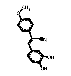 COc1ccc(C(C#N)=Cc2ccc(O)c(O)c2)cc1